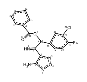 N=C(c1nonc1N)N(OC(=O)c1ccccc1)c1ccc(F)c(Cl)c1